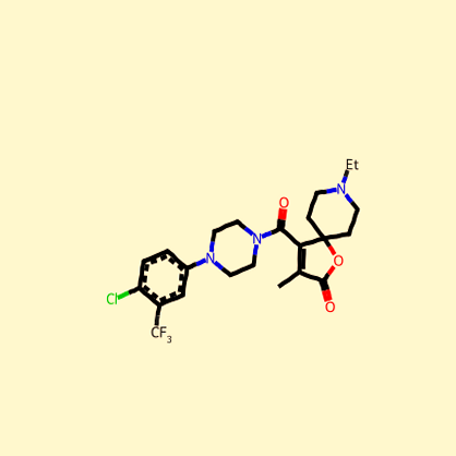 CCN1CCC2(CC1)OC(=O)C(C)=C2C(=O)N1CCN(c2ccc(Cl)c(C(F)(F)F)c2)CC1